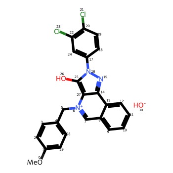 COc1ccc(C[n+]2cc3ccccc3c3nn(-c4ccc(Cl)c(Cl)c4)c(O)c32)cc1.[OH-]